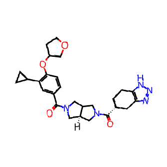 O=C(c1ccc(OC2CCOC2)c(C2CC2)c1)N1CC2CN(C(=O)[C@@H]3CCc4[nH]nnc4C3)C[C@H]2C1